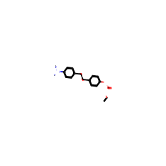 C=COC(=O)Oc1ccc(C(=O)C(=O)c2ccc(N(CC)CC)cc2)cc1